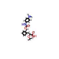 CC(C)OC(Cc1ccccc1COC(=O)Nc1ccc(N(C)C)cc1)C(=O)O